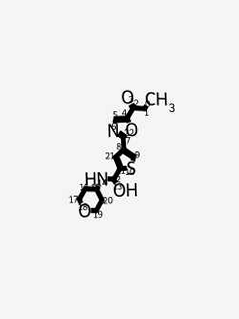 CCC(=O)c1cnc(-c2csc(C(O)NC3CCOCC3)c2)o1